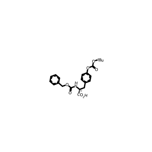 CC(C)(C)OC(=O)Oc1ccc(C[C@H](NC(=O)OCc2ccccc2)C(=O)O)cc1